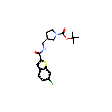 CC(C)(C)OC(=O)N1CC[C@H](CNC(=O)c2cc3ccc(Cl)cc3s2)C1